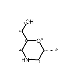 C[C@@H]1CNCC(CO)O1